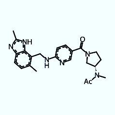 CC(=O)N(C)[C@H]1CCN(C(=O)c2ccc(NCc3c(C)ccc4nc(C)[nH]c34)nc2)C1